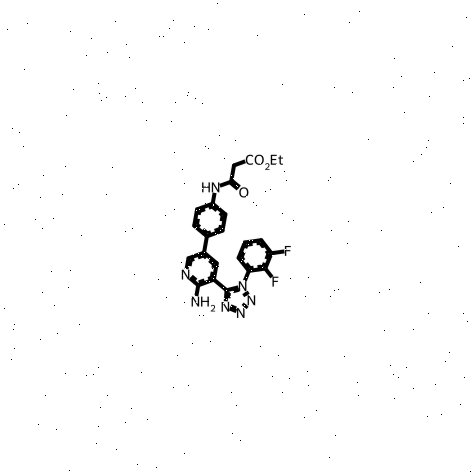 CCOC(=O)CC(=O)Nc1ccc(-c2cnc(N)c(-c3nnnn3-c3cccc(F)c3F)c2)cc1